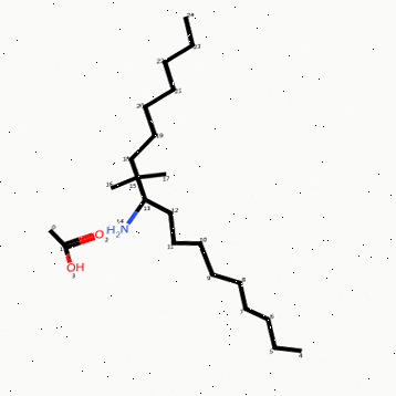 CC(=O)O.CCCCCCCCCC(N)C(C)(C)CCCCCCC